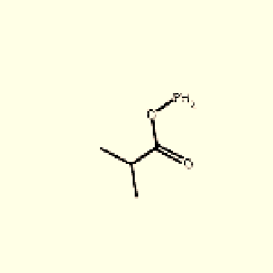 CC(C)C(=O)OP